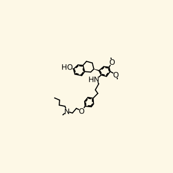 CCCCN(C)CCOc1ccc(CCCNc2cc(OC)c(OC)cc2[C@@H]2CCc3cc(O)ccc3C2)cc1